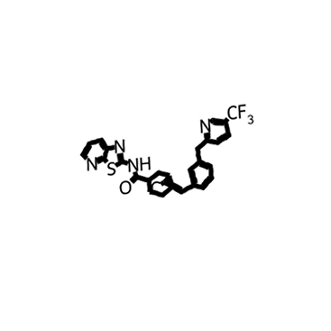 O=C(Nc1nc2cccnc2s1)C1CC2CCC1CC2=Cc1cccc(Cc2ccc(C(F)(F)F)cn2)c1